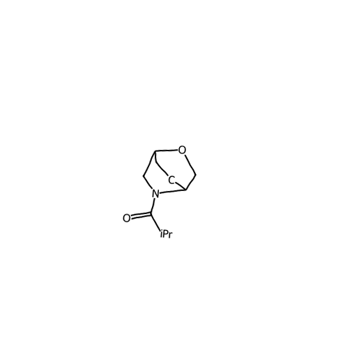 CC(C)C(=O)N1CC2CCC1CO2